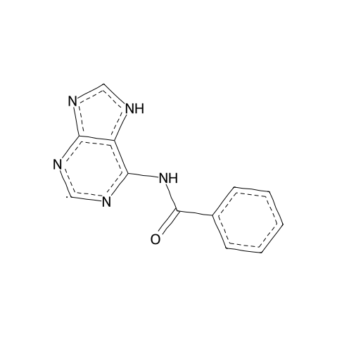 O=C(Nc1n[c]nc2nc[nH]c12)c1ccccc1